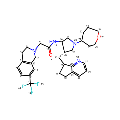 O=C(CN1CCc2ccc(C(F)(F)F)cc2C1)NC1CN(C2CCCOCC2)C[C@@H]1CC1CCc2cccnc21